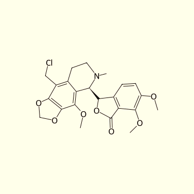 COc1ccc2c(c1OC)C(=O)OC2[C@H]1c2c(c(CCl)c3c(c2OC)OCO3)CCN1C